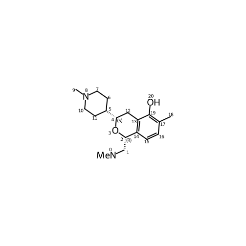 CNC[C@@H]1O[C@H](C2CCN(C)CC2)Cc2c1ccc(C)c2O